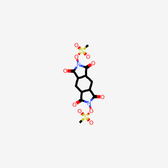 CS(=O)(=O)ON1C(=O)C2CC3C(=O)N(OS(C)(=O)=O)C(=O)C3CC2C1=O